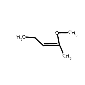 CCC=C(C)OC